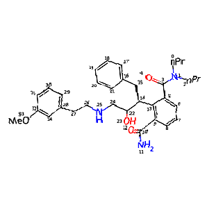 CCCN(CCC)C(=O)c1cccc(C(N)=O)c1[C@H](Cc1ccccc1)C(O)CNCCc1cccc(OC)c1